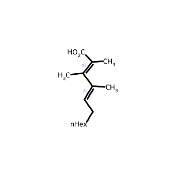 CCCCCCC/C=C(C)/C(C)=C(\C)C(=O)O